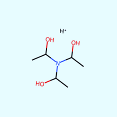 CC(O)N(C(C)O)C(C)O.[H+]